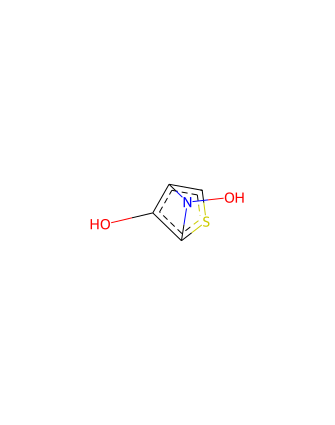 Oc1c2csc1N2O